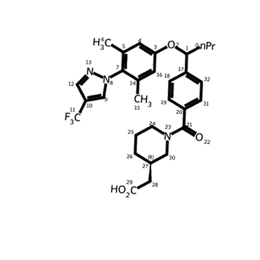 CCCC(Oc1cc(C)c(-n2cc(C(F)(F)F)cn2)c(C)c1)c1ccc(C(=O)N2CCC[C@H](CC(=O)O)C2)cc1